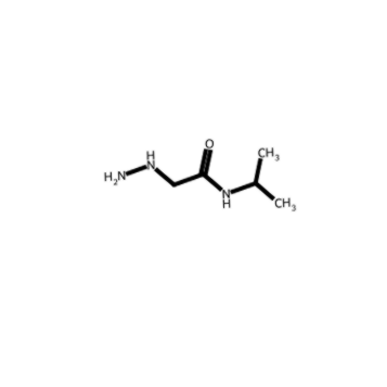 CC(C)NC(=O)CNN